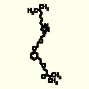 CC(C)CCCCc1cn(CCOCCOc2cccc(CCOCCC(=O)C(C)C)c2)nn1